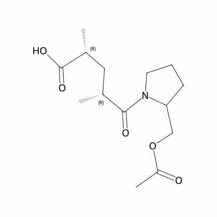 CC(=O)OCC1CCCN1C(=O)[C@H](C)C[C@@H](C)C(=O)O